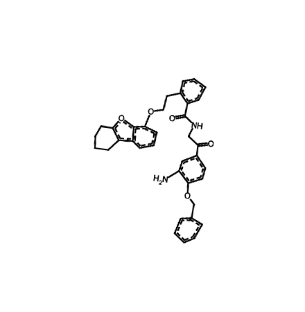 Nc1cc(C(=O)CNC(=O)c2ccccc2CCOc2cccc3c4c(oc23)CCCC4)ccc1OCc1ccccc1